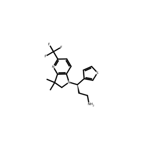 CC1(C)CN([C@H](CCN)c2ccsc2)c2ccc(C(F)(F)F)nc21